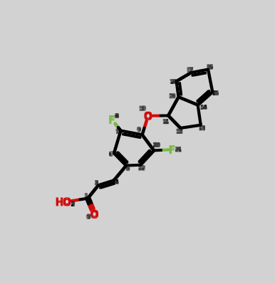 O=C(O)/C=C/c1cc(F)c(OC2CCc3ccccc32)c(F)c1